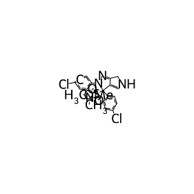 COc1cc(Cl)ccc1N1N=C2CNC=C2C1(c1ccc(Cl)cc1)S(=O)(=O)N(C)C